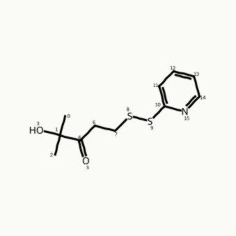 CC(C)(O)C(=O)CCSSc1ccccn1